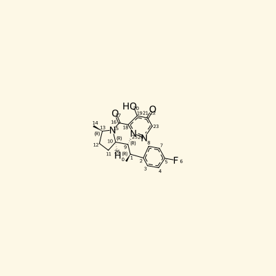 C[C@H](c1ccc(F)cc1)[C@@H]1[C@H]2CC[C@@H](C)N2C(=O)c2c(O)c(=O)cnn21